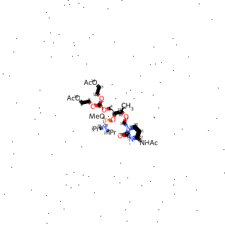 COP(O[C@H](COC(OCCOC(C)=O)OCCOC(C)=O)[C@@H](C)OCn1ccc(NC(C)=O)nc1=O)N(C(C)C)C(C)C